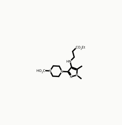 CCOC(=O)CCNc1c(N2CCN(C(=O)O)CC2)nn(C)c1C